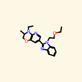 CCOCCn1c(-c2cnc3c(c2)OCC(C)N3CC)nc2ccccc21